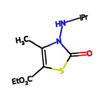 CCOC(=O)c1sc(=O)n(NC(C)C)c1C